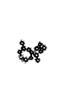 c1ccc(-c2cc(-c3ccccc3)cc(-c3cccc(-c4ncc5sc6ccc(-c7cccc(-c8cccc9c8c8cc(-c%10ccccc%10)ccc8n9-c8ccc9c(c8)C(c8ccccc8)(c8ccccc8)c8ccccc8-9)c7)cc6c5n4)c3)c2)cc1